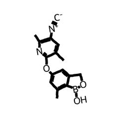 [C-]#[N+]c1cc(C)c(Oc2cc(C)c3c(c2)COB3O)nc1C